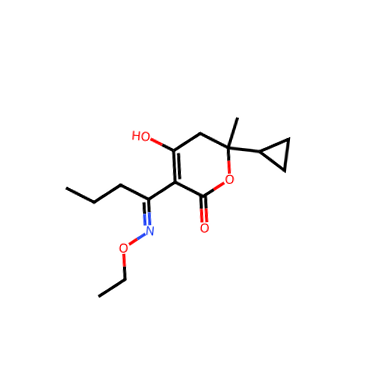 CCCC(=NOCC)C1=C(O)CC(C)(C2CC2)OC1=O